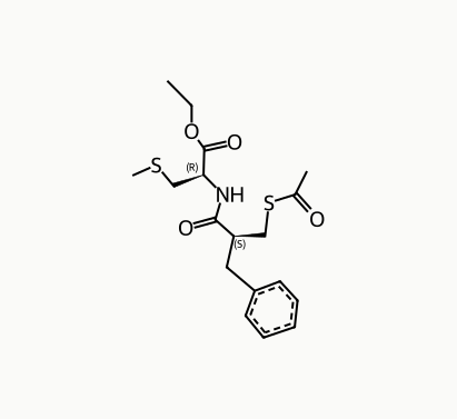 CCOC(=O)[C@H](CSC)NC(=O)[C@@H](CSC(C)=O)Cc1ccccc1